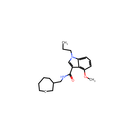 CCCn1cc(C(=O)NCC2CCCCCC2)c2c(OC)cccc21